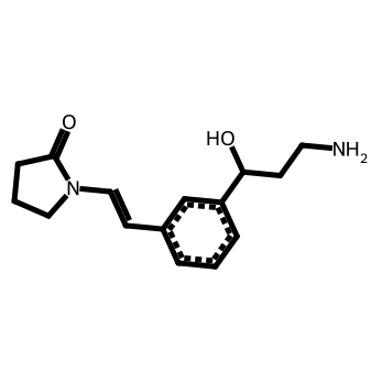 NCCC(O)c1cccc(/C=C/N2CCCC2=O)c1